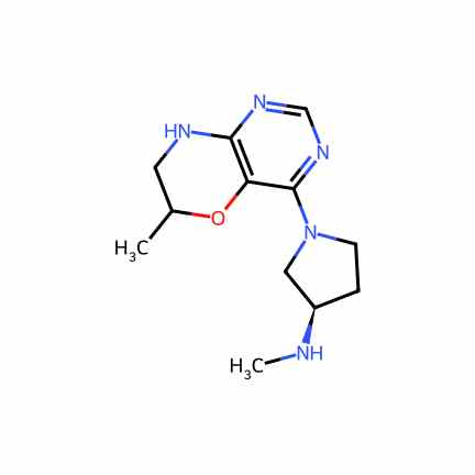 CN[C@@H]1CCN(c2ncnc3c2OC(C)CN3)C1